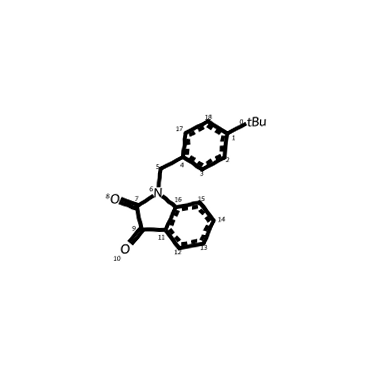 CC(C)(C)c1ccc(CN2C(=O)C(=O)c3ccccc32)cc1